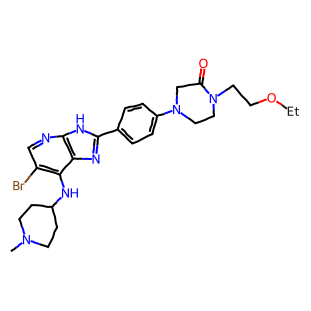 CCOCCN1CCN(c2ccc(-c3nc4c(NC5CCN(C)CC5)c(Br)cnc4[nH]3)cc2)CC1=O